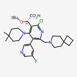 CC1(C)CCN(c2c(-c3cncc(F)c3)c(CN3CCC4(CCC4)CC3)nc(Cl)c2[C@H](OC(C)(C)C)C(=O)O)CC1